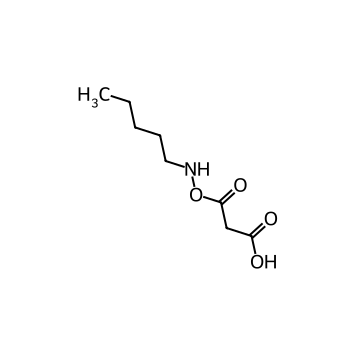 CCCCCNOC(=O)CC(=O)O